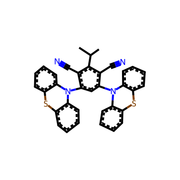 CC(C)c1c(C#N)c(N2c3ccccc3Sc3ccccc32)cc(N2c3ccccc3Sc3ccccc32)c1C#N